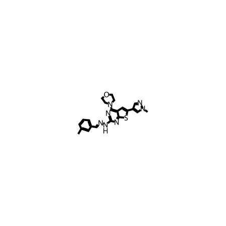 Cc1cccc(/C=N/Nc2nc(N3CCOCC3)c3cc(-c4cnn(C)c4)sc3n2)c1